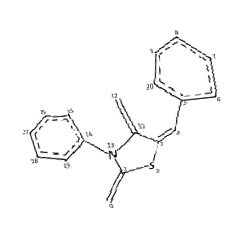 C=C1SC(=Cc2ccccc2)C(=C)N1c1ccccc1